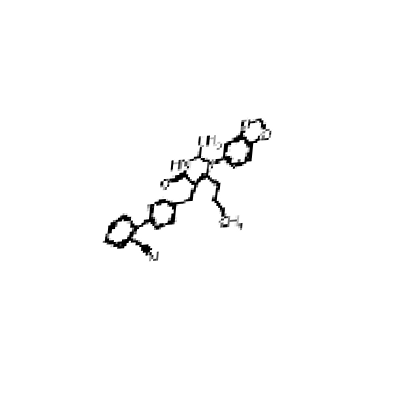 CCCCC1=C(Cc2ccc(-c3ccccc3C#N)cc2)C(=O)NC(C)N1c1ccc2c(c1)OCO2